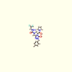 Cc1ccc(Cn2nc3n(c2=O)C(C(=O)N2CCCC2)CN(C(=O)NCC(F)F)C3)cc1